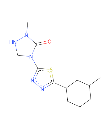 CC1CCCC(c2nnc(N3CNN(C)C3=O)s2)C1